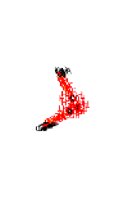 O=P([O-])([O-])[O-].O=P([O-])([O-])[O-].O=P([O-])([O-])[O-].O=P([O-])([O-])[O-].O=P([O-])([O-])[O-].O=P([O-])([O-])[O-].O=P([O-])([O-])[O-].O=P([O-])([O-])[O-].OC1C(O)C(O)C(O)C(O)C1O.OC1C(O)C(O)C(O)C(O)C1O.OC1C(O)C(O)C(O)C(O)C1O.[Ca+2].[Ca+2].[Ca+2].[Ca+2].[Ca+2].[Ca+2].[Ca+2].[Ca+2].[Ca+2].[Ca+2].[Ca+2].[Ca+2]